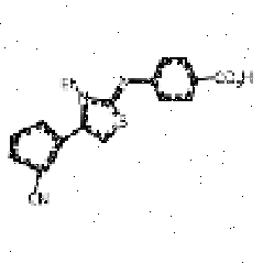 CCn1c(-c2cccc(C#N)c2)cs/c1=N\c1ccc(C(=O)O)cc1